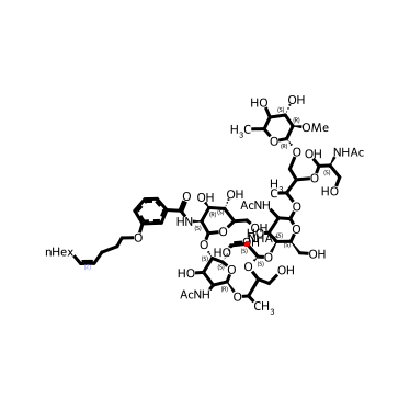 CCCCCC/C=C\CCCOc1cccc(C(=O)N[C@@H]2C(O[C@H]3C(O)C(NC(C)=O)[C@H](OC(C)C(CO)O[C@@H](O[C@H]4C(O)C(NC(C)=O)C(OC(C)C(CO[C@@H]5OC(C)C(O)[C@H](O)[C@H]5OC)OC(O)[C@H](CO)NC(C)=O)O[C@H]4CO)[C@H](CO)NC(C)=O)O[C@H]3CO)OC(CO)[C@@H](O)[C@@H]2O)c1